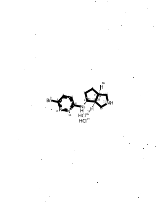 Brc1ccc(N[C@@H]2CC[C@H]3CNC[C@H]32)nn1.Cl.Cl